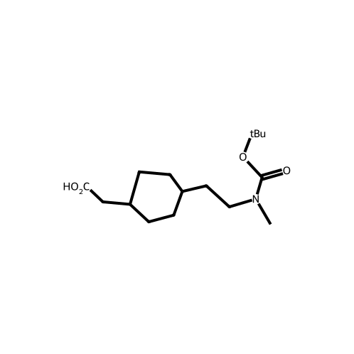 CN(CCC1CCC(CC(=O)O)CC1)C(=O)OC(C)(C)C